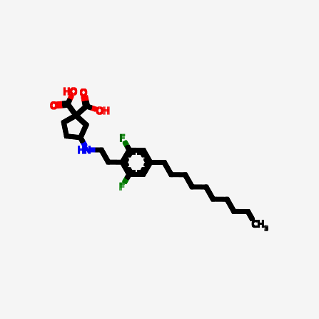 CCCCCCCCCCc1cc(F)c(CCNC2CCC(C(=O)O)(C(=O)O)C2)c(F)c1